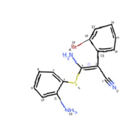 N#C/C(=C(/N)Sc1ccccc1N)c1ccccc1Br